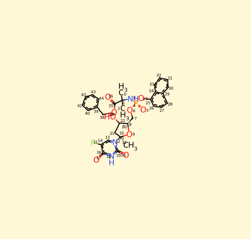 CC(C)(NP(=O)(OC[C@H]1O[C@@](C)(n2cc(F)c(=O)[nH]c2=O)CC1O)Oc1cccc2ccccc12)C(=O)OCc1ccccc1